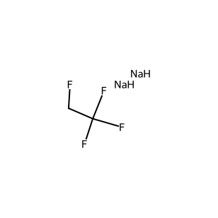 FCC(F)(F)F.[NaH].[NaH]